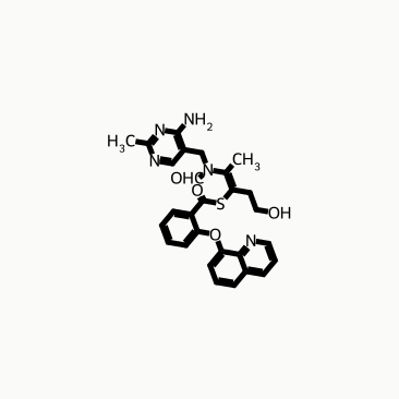 C/C(=C(\CCO)SC(=O)c1ccccc1Oc1cccc2cccnc12)N(C=O)Cc1cnc(C)nc1N